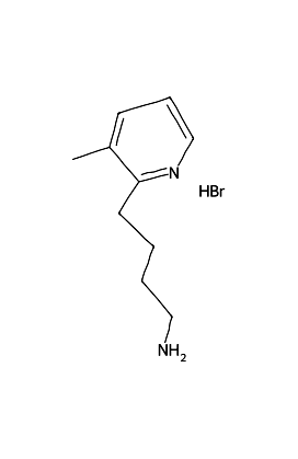 Br.Cc1cccnc1CCCCN